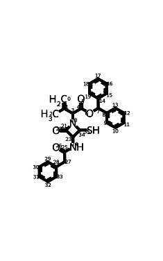 C=C(C)C(C(=O)OC(c1ccccc1)c1ccccc1)N1C(=O)C(NC(=O)Cc2ccccc2)C1S